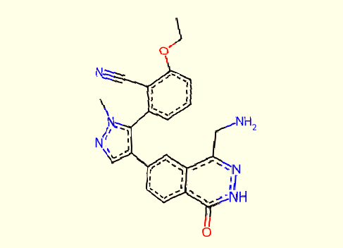 CCOc1cccc(-c2c(-c3ccc4c(=O)[nH]nc(CN)c4c3)cnn2C)c1C#N